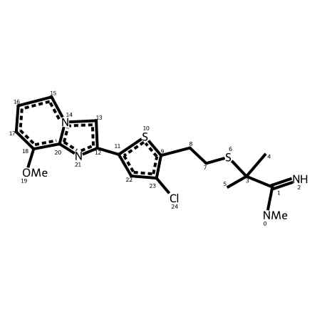 CNC(=N)C(C)(C)SCCc1sc(-c2cn3cccc(OC)c3n2)cc1Cl